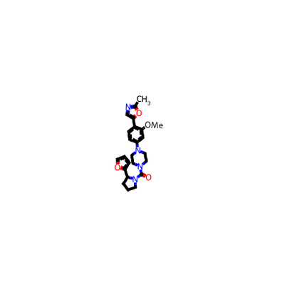 COc1cc(N2CCN(C(=O)N3CCCC3c3ccco3)CC2)ccc1-c1cnc(C)o1